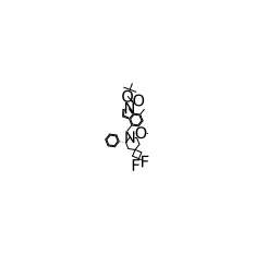 COc1cc(C)c2c(ccn2C(=O)OC(C)(C)C)c1CN1CCC2(C[C@@H]1c1ccccc1)CC(F)(F)C2